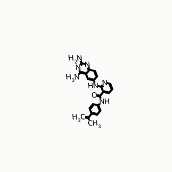 C=C(C)c1ccc(NC(=O)c2cccnc2Nc2ccc3nc(N)nc(N)c3c2)cc1